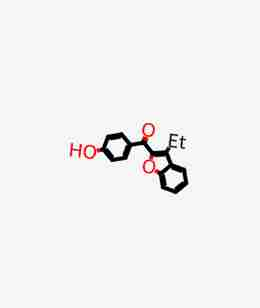 CCc1c(C(=O)c2ccc(O)cc2)oc2ccccc12